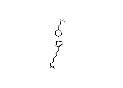 C=CCCCOCc1ccc([C@H]2CC[C@H](CC=C)CC2)cc1